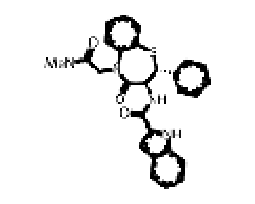 CNC(=O)CN1C(=O)[C@H](NC(=O)c2cc3ccccc3[nH]2)[C@@H](c2ccccc2)Sc2ccccc21